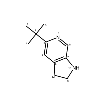 CC(C)(C)c1cc2c(cn1)NCC2